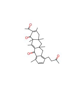 CC(=O)CCc1ccc(C)c2c1CC1(C)CC3(C)CC(C)=C(C(C)=O)C(=O)C3(C)C(C)=C1C2=O